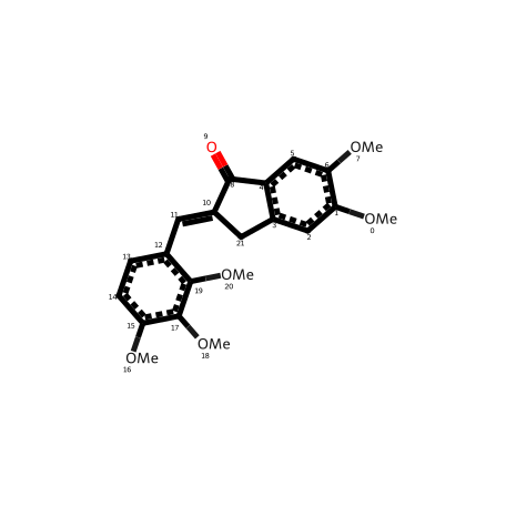 COc1cc2c(cc1OC)C(=O)C(=Cc1ccc(OC)c(OC)c1OC)C2